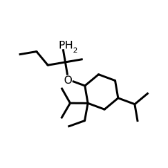 CCCC(C)(P)OC1CCC(C(C)C)CC1(CC)C(C)C